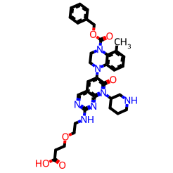 Cc1cccc2c1N(C(=O)OCc1ccccc1)CCN2c1cc2cnc(NCCOCCC(=O)O)nc2n(C2CCCNC2)c1=O